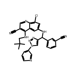 CC(C)(C)CNc1c(C#N)cnc2c(Cl)cc(NC(c3cccc(C#N)c3)c3cn(-c4cccnc4)nn3)cc12